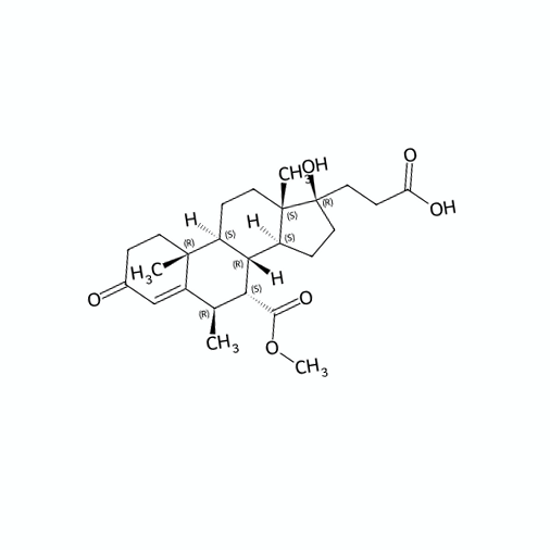 COC(=O)[C@H]1[C@@H]2[C@H](CC[C@@]3(C)[C@H]2CC[C@@]3(O)CCC(=O)O)[C@@]2(C)CCC(=O)C=C2[C@@H]1C